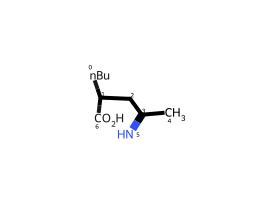 CCCCC(CC(C)=N)C(=O)O